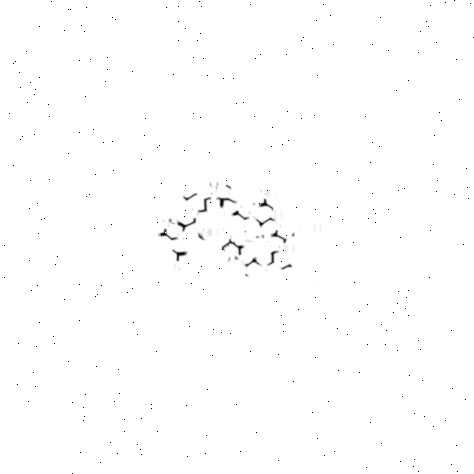 CC(=O)N[C@H](CC(=O)O)C(=O)N[C@H](CO)C(=O)N[C@H](CCC(=O)O)C(=O)N[C@H](CC(=O)O)C(=O)N[C@H](CC(N)=O)C(=O)N[C@H](CO)C(=O)N[C@H](CC(=O)O)C(=O)N[C@H](CCC(=O)O)C(=O)N[C@H](CCC(=O)O)C(=O)N[C@H](CC(N)=O)C(N)=O